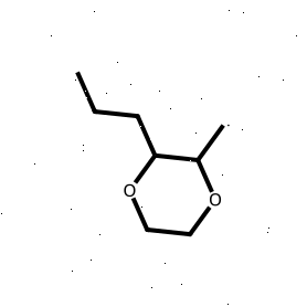 [CH2]C1OCCOC1CCC